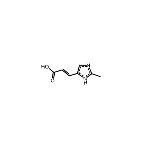 Cc1ncc(/C=C/C(=O)O)[nH]1